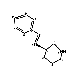 C(=N[C@@H]1CCCNC1)c1ccccc1